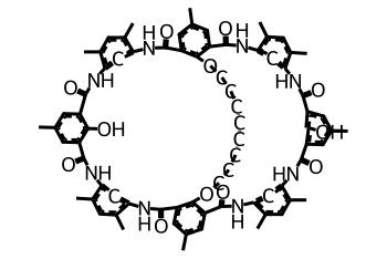 Cc1cc2c(O)c(c1)C(=O)Nc1cc(c(C)cc1C)NC(=O)c1cc(C)cc3c1OCCCCCCCCOc1c(cc(C)cc1C(=O)Nc1cc(c(C)cc1C)NC(=O)c1cc(C)cc(c1O)C(=O)Nc1cc(c(C)cc1C)NC3=O)C(=O)Nc1cc(c(C)cc1C)NC2=O